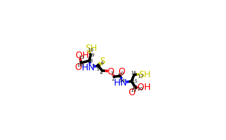 O=C(COCC(=S)NC(CS)C(=O)O)NC(CS)C(=O)O